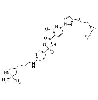 CC1(C)CC(CCCNc2ccc(S(=O)(=O)NC(=O)c3ccc(-n4ccc(OCCC5CC5C(F)(F)F)n4)nc3Cl)cn2)CN1